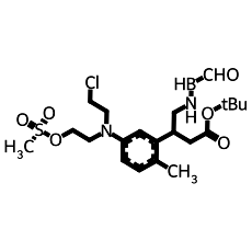 Cc1ccc(N(CCCl)CCOS(C)(=O)=O)cc1C(CNBC=O)CC(=O)OC(C)(C)C